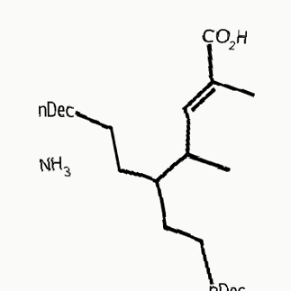 CCCCCCCCCCCCC(CCCCCCCCCCCC)C(C)C=C(C)C(=O)O.N